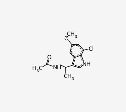 COc1cc(Cl)c2[nH]cc(C(C)CNC(C)=O)c2c1